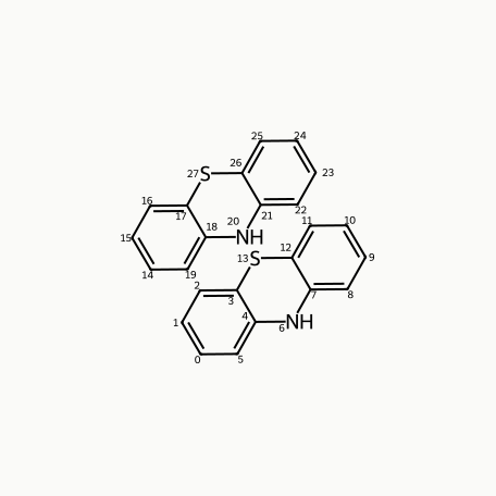 c1ccc2c(c1)Nc1ccccc1S2.c1ccc2c(c1)Nc1ccccc1S2